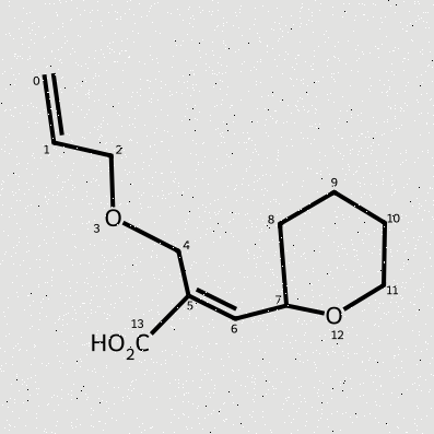 C=CCOCC(=CC1CCCCO1)C(=O)O